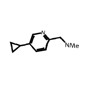 CNCc1ccc(C2CC2)cn1